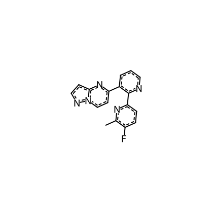 Cc1nc(-c2ncccc2-c2ccn3nccc3n2)ccc1F